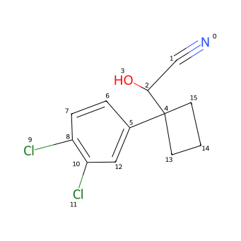 N#CC(O)C1(c2ccc(Cl)c(Cl)c2)CCC1